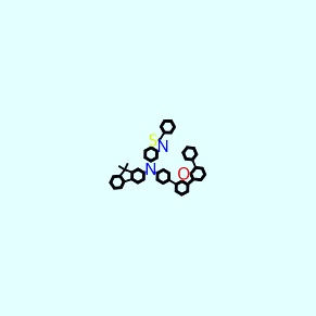 CC1(C)c2ccccc2-c2ccc(N(c3ccc(-c4cccc5c4oc4c(-c6ccccc6)cccc45)cc3)c3ccc4sc(-c5ccccc5)nc4c3)cc21